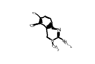 CN1Cc2c(ccc(Cl)c2Cl)N=C1N